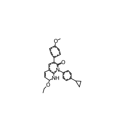 CCOC1C=Cc2cc(-c3ccc(OC)cc3)c(=O)n(-c3ccc(C4CC4)cc3)c2N1